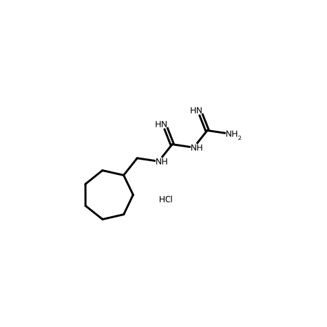 Cl.N=C(N)NC(=N)NCC1CCCCCC1